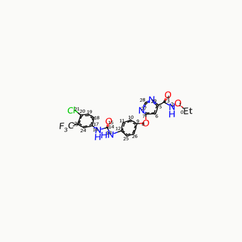 CCONC(=O)c1cc(Oc2ccc(NC(=O)Nc3ccc(Cl)c(C(F)(F)F)c3)cc2)ncn1